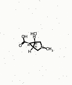 CN1C[C@@H]2[C@H](C1)[C@H]2C(=O)O.Cl